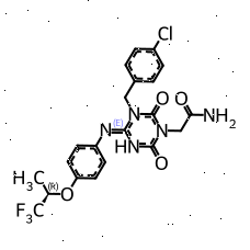 C[C@@H](Oc1ccc(/N=c2\[nH]c(=O)n(CC(N)=O)c(=O)n2Cc2ccc(Cl)cc2)cc1)C(F)(F)F